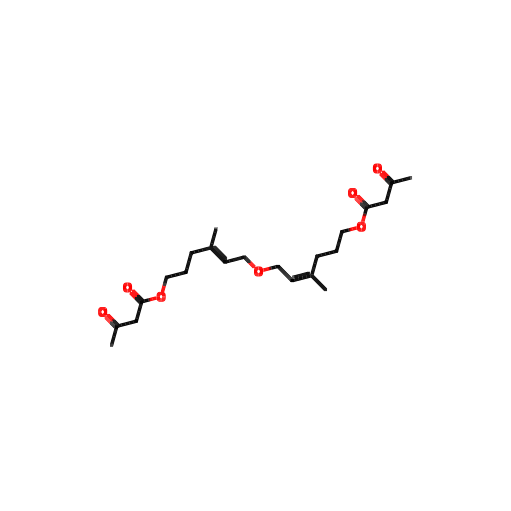 CC(=O)CC(=O)OCCCC(C)=CCOCC=C(C)CCCOC(=O)CC(C)=O